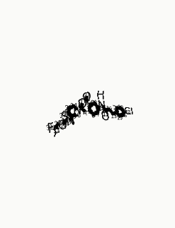 O=COC(C[C@H]1CC[C@H](NC(=O)CCc2ccc(Cl)cc2)CC1)N1CCc2sc(OCC(F)F)nc2C1